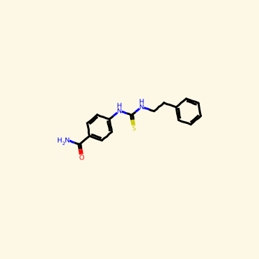 NC(=O)c1ccc(NC(=S)NCCc2ccccc2)cc1